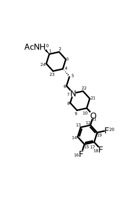 CC(=O)N[C@H]1CC[C@H](CCN2CCC(Oc3ccc(F)c(F)c3F)CC2)CC1